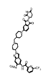 COc1cc2nn(C3CCN(CC4CCN(c5ccc6c(c5)C(=O)N(N5CCC(=O)NC5=O)C6=O)CC4)CC3)cc2cc1NC(=O)c1cccc(C(F)(F)F)n1